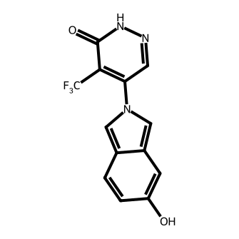 O=c1[nH]ncc(-n2cc3ccc(O)cc3c2)c1C(F)(F)F